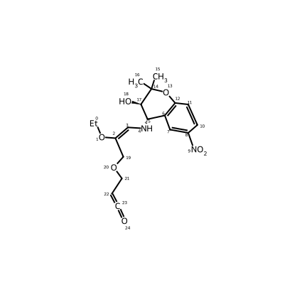 CCO/C(=C/N[C@H]1c2cc([N+](=O)[O-])ccc2OC(C)(C)[C@@H]1O)COCC=C=O